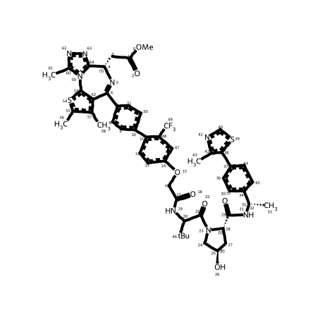 COC(=O)C[C@@H]1N=C(c2ccc(-c3ccc(OCC(=O)NC(C(=O)N4C[C@H](O)C[C@H]4C(=O)N[C@@H](C)c4ccc(-c5scnc5C)cc4)C(C)(C)C)cc3C(F)(F)F)cc2)c2c(sc(C)c2C)-n2c(C)nnc21